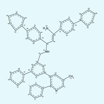 Cc1cnc(-c2ccccc2)c(-c2cc(CNC(/C=C(\N)c3ccc(-c4ccccc4)cc3)c3ccc(-c4ccccc4)cc3)cc(-c3ccccc3)c2)c1